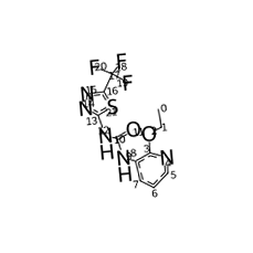 CCOc1ncccc1NC(=O)Nc1nnc(C(F)(F)F)s1